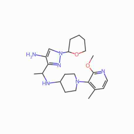 COc1nccc(C)c1N1CCC(NC(C)c2nn(C3CCCCO3)cc2N)CC1